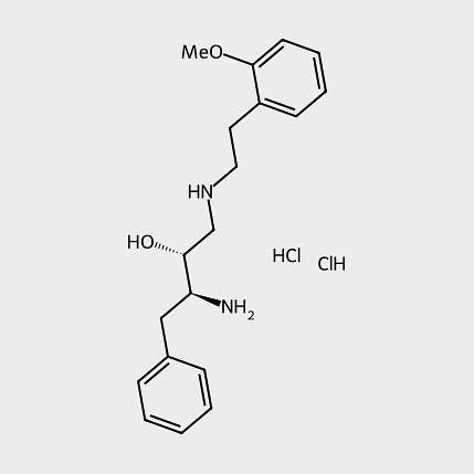 COc1ccccc1CCNC[C@@H](O)[C@@H](N)Cc1ccccc1.Cl.Cl